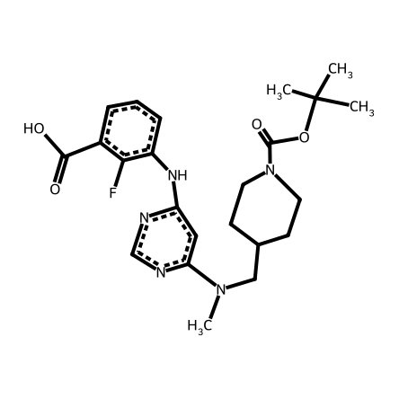 CN(CC1CCN(C(=O)OC(C)(C)C)CC1)c1cc(Nc2cccc(C(=O)O)c2F)ncn1